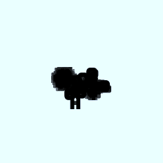 COc1ccc(C(OC[C@H]2O[C@@H](n3ccc(=O)[nH]c3=O)[C@H](OCc3cc4ccc5ccc6ccc7ccc8ccc3c3c8c7c6c5c43)[C@@H]2O)(c2ccccc2)c2ccc(OC)cc2)cc1